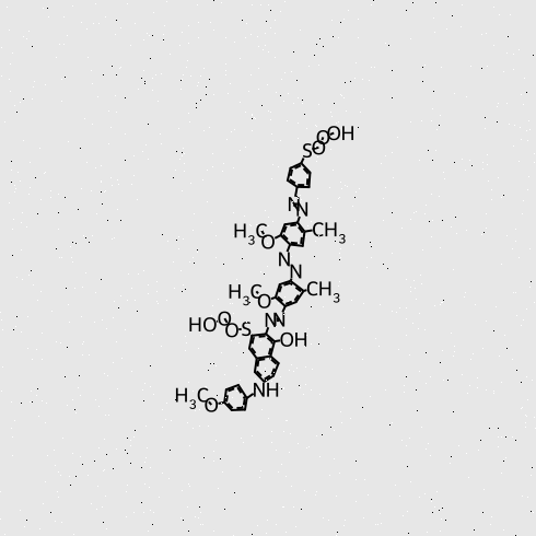 COc1ccc(Nc2ccc3c(O)c(N=Nc4cc(C)c(N=Nc5cc(C)c(N=Nc6ccc(SOOO)cc6)cc5OC)cc4OC)c(SOOO)cc3c2)cc1